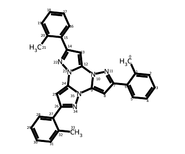 Cc1ccccc1-c1cc2n(n1)c1cc(-c3ccccc3C)nn1c1cc(-c3ccccc3C)nn21